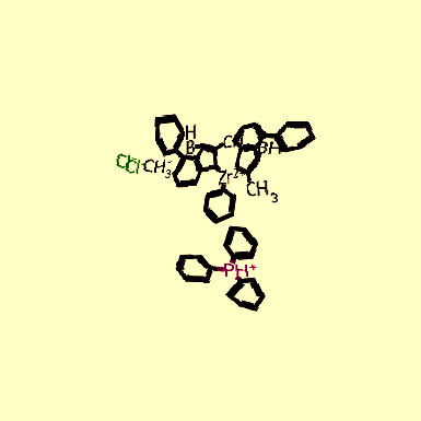 CC1=C2Bc3ccc(c2c3-c2ccccc2)[CH]1[Zr+2]([c]1ccccc1)[CH]1C(C)=C2Bc3ccc1c2c3-c1ccccc1.[CH3-].[Cl-].[Cl-].c1ccc([PH+](c2ccccc2)c2ccccc2)cc1